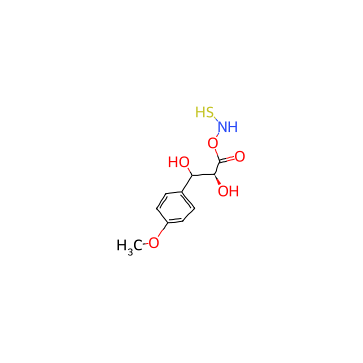 COc1ccc(C(O)[C@H](O)C(=O)ONS)cc1